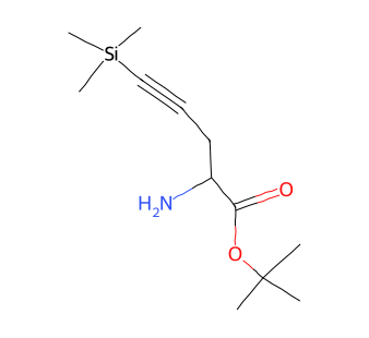 CC(C)(C)OC(=O)C(N)CC#C[Si](C)(C)C